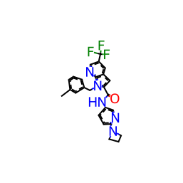 Cc1cccc(Cn2c(C(=O)Nc3ccc(N4CCC4)nc3)cc3cc(C(F)(F)F)cnc32)c1